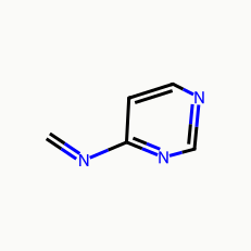 C=Nc1ccncn1